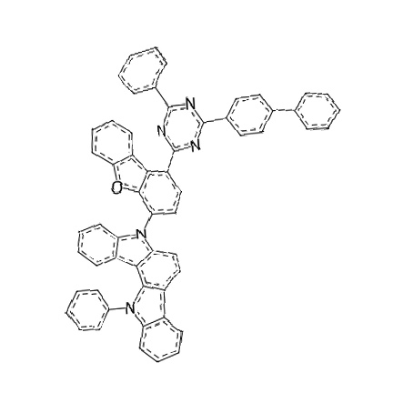 c1ccc(-c2ccc(-c3nc(-c4ccccc4)nc(-c4ccc(-n5c6ccccc6c6c5ccc5c7ccccc7n(-c7ccccc7)c56)c5oc6ccccc6c45)n3)cc2)cc1